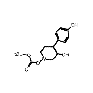 CC(C)(C)OC(=O)ON1CCC(c2ccc(O)cc2)C(O)C1